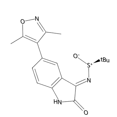 Cc1noc(C)c1-c1ccc2c(c1)/C(=N\[S@@+]([O-])C(C)(C)C)C(=O)N2